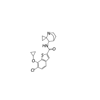 O=C(NC1C2CCN(CC2)C12CC2)c1cc2ccc(Cl)c(OC3CC3)c2s1